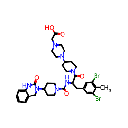 Cc1c(Br)cc(CC(NC(=O)N2CCC(N3Cc4ccccc4NC3=O)CC2)C(=O)N2CCC(N3CCN(CC(=O)O)CC3)CC2)cc1Br